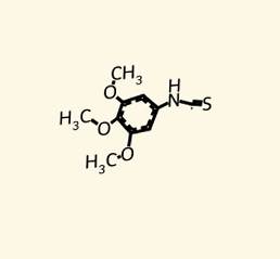 COc1cc(N[C]=S)cc(OC)c1OC